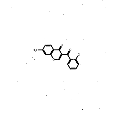 Cc1ccc2c(=O)c(C(=O)c3ccccc3Cl)coc2c1